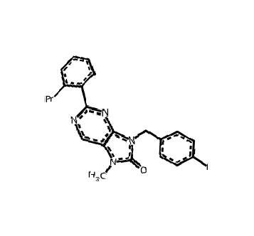 CC(C)c1ccccc1-c1ncc2c(n1)n(Cc1ccc(I)cc1)c(=O)n2C